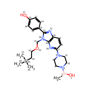 CB(O)N1CCN(c2ccc3nc(-c4ccc(O)cc4)n(COCC[Si](C)(C)C)c3n2)CC1